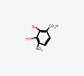 O=C(O)c1ccc([N+](=O)[O-])c(O)c1Br